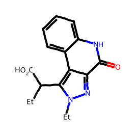 CCC(C(=O)O)c1c2c(nn1CC)c(=O)[nH]c1ccccc12